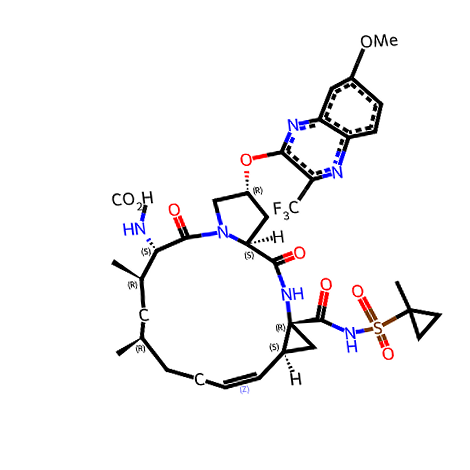 COc1ccc2nc(C(F)(F)F)c(O[C@@H]3C[C@H]4C(=O)N[C@]5(C(=O)NS(=O)(=O)C6(C)CC6)C[C@H]5/C=C\CC[C@@H](C)C[C@@H](C)[C@H](NC(=O)O)C(=O)N4C3)nc2c1